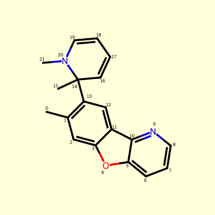 Cc1cc2oc3cccnc3c2cc1C1(C)C=CC=CN1C